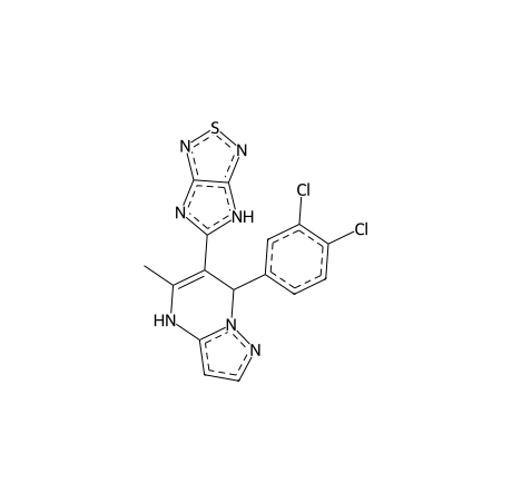 CC1=C(c2nc3nsnc3[nH]2)C(c2ccc(Cl)c(Cl)c2)n2nccc2N1